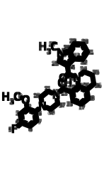 COc1cc(F)ccc1N1CCN(C(C)c2cccc3c2N(C(=O)c2cn(C)c4ccccc24)CCC3)CC1